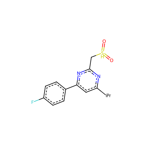 CC(C)c1cc(-c2ccc(F)cc2)nc(C[SH](=O)=O)n1